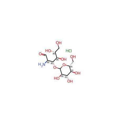 Cl.N[C@@H](C=O)[C@@H](OC1O[C@H](CO)[C@@H](O)[C@H](O)[C@H]1O)[C@H](O)[C@H](O)CO